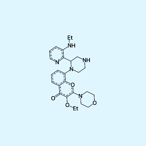 CCNc1cccnc1C1CNCCN1c1cccc2c(=O)c(OCC)c(N3CCOCC3)oc12